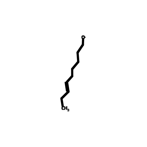 CCC=CCCCCC[O]